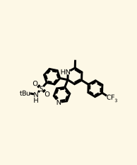 CC1=CC(c2ccc(C(F)(F)F)cc2)=CC(c2ccncc2)(c2cccc(S(=O)(=O)NC(C)(C)C)c2)N1